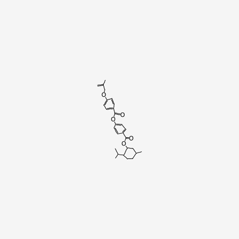 C=C(C)COc1ccc(C(=O)Oc2ccc(C(=O)OC3CC(C)CCC3C(C)C)cc2)cc1